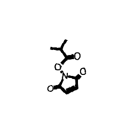 CC(C)C(=O)ON1C(=O)C=CC1=O